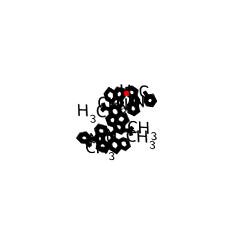 Cc1ccccc1-n1c2ccccc2c2c(N(c3cccc4c3CCCC4)c3cc(C(C)C)c4ccc5c(N(c6cccc7c6CCCC7)c6cccc7c6c6ccccc6n7-c6ccccc6C)cc(C(C)C)c6ccc3c4c65)cccc21